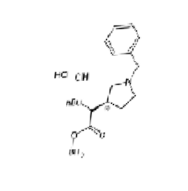 BOC(=O)C(CCCC)[C@@H]1CCN(Cc2ccccc2)C1.Cl.Cl